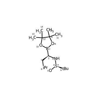 CC(C)C[C@H](N[S@+]([O-])C(C)(C)C)B1OC(C)(C)C(C)(C)O1